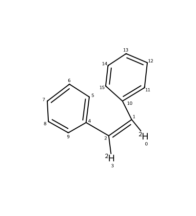 [2H]C(=C([2H])c1ccccc1)c1ccccc1